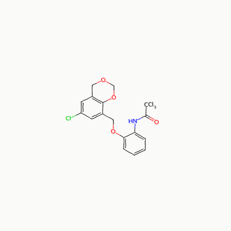 O=C(Nc1ccccc1OCc1cc(Cl)cc2c1OCOC2)C(Cl)(Cl)Cl